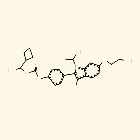 CCCOc1ccc2c(N)c(-c3ccc(NC(=O)OC(C)C4CCC4)cc3)n(C(C)C)c2c1